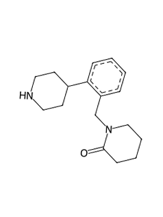 O=C1CCCCN1Cc1ccccc1C1CCNCC1